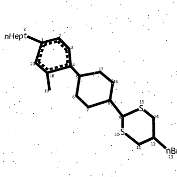 CCCCCCCc1ccc(C2CCC(C3SCC(CCCC)CS3)CC2)c(C)c1